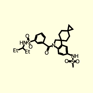 CCC(CC)NS(=O)(=O)c1cccc(C(=O)N2CC3(CCC4(CC4)CC3)c3cc(NS(C)(=O)=O)ccc32)c1